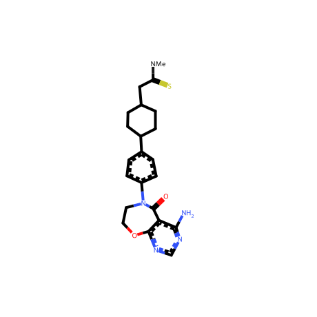 CNC(=S)CC1CCC(c2ccc(N3CCOc4ncnc(N)c4C3=O)cc2)CC1